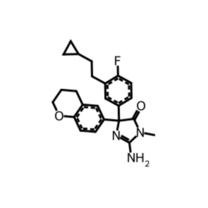 CN1C(=O)C(c2ccc(F)c(CCC3CC3)c2)(c2ccc3c(c2)CCCO3)N=C1N